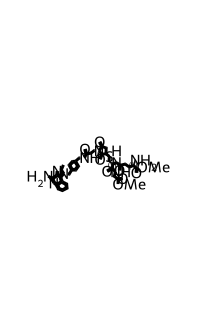 COC(=O)CNC(=O)[C@@H](CSC1CC(=O)N(CCC(=O)NCc2ccc(Cn3c(C)nc4c(N)nc5ccccc5c43)cc2)C1=O)NC(=O)CC[C@@H](N)C(=O)OC